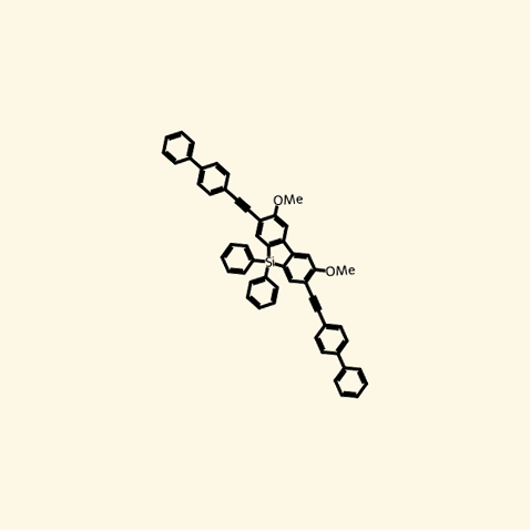 COc1cc2c(cc1C#Cc1ccc(-c3ccccc3)cc1)[Si](c1ccccc1)(c1ccccc1)c1cc(C#Cc3ccc(-c4ccccc4)cc3)c(OC)cc1-2